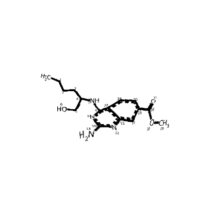 CCCCC(CO)Nc1nc(N)nc2cc(C(=O)OC)ccc12